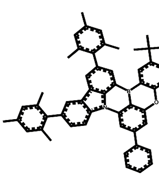 Cc1cc(C)c(-c2ccc3c(c2)c2cc(-c4c(C)cc(C)cc4C)cc4c2n3-c2cc(-c3ccccc3)cc3c2B4c2cc(C(C)(C)C)ccc2O3)c(C)c1